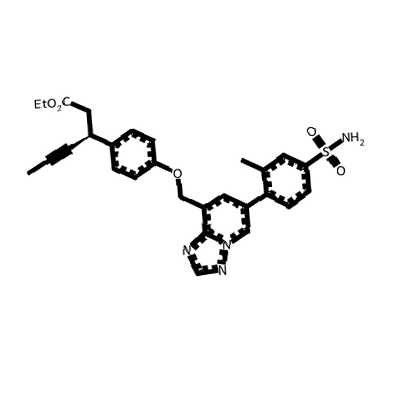 CC#C[C@@H](CC(=O)OCC)c1ccc(OCc2cc(-c3ccc(S(N)(=O)=O)cc3C)cn3ncnc23)cc1